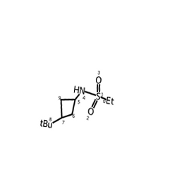 CCS(=O)(=O)NC1CC(C(C)(C)C)C1